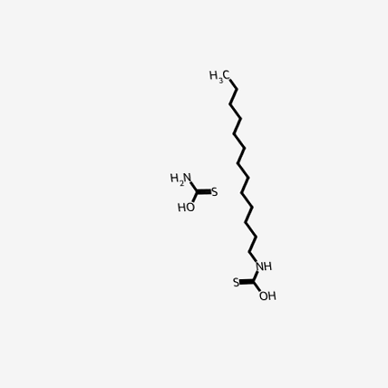 CCCCCCCCCCCCCNC(O)=S.NC(O)=S